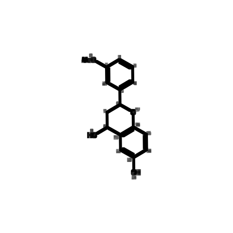 COc1cccc(C2CC(O)c3cc(O)ccc3O2)c1